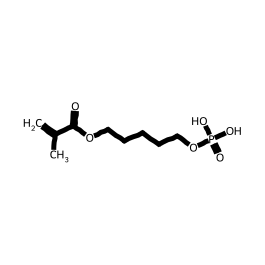 C=C(C)C(=O)OCCCCCOP(=O)(O)O